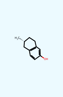 C[C@@H]1CCc2cc(O)ccc2C1